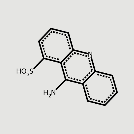 Nc1c2ccccc2nc2cccc(S(=O)(=O)O)c12